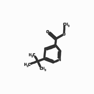 COC(=O)c1cncc(C(C)(C)C)c1